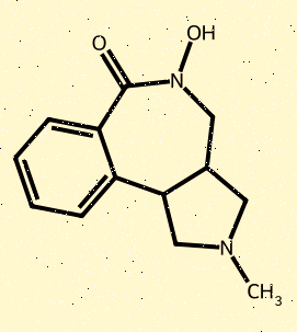 CN1CC2CN(O)C(=O)c3ccccc3C2C1